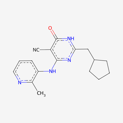 Cc1ncccc1Nc1nc(CC2CCCC2)[nH]c(=O)c1C#N